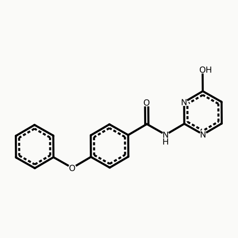 O=C(Nc1nccc(O)n1)c1ccc(Oc2ccccc2)cc1